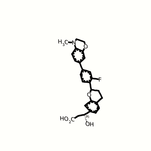 CN1CCOc2cc(-c3ccc(C4CCc5ccc([C@H](O)CC(=O)O)cc5O4)c(F)c3)ccc21